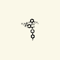 Cc1cccc(F)c1Nc1cc(S(N)(=O)=O)ncc1C(=O)N1CCC(c2ccc(F)cc2)CC1